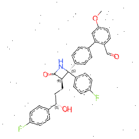 COc1ccc(C=O)c(-c2ccc([C@@]3(c4ccc(F)cc4)NC(=O)[C@@H]3CC[C@H](O)c3ccc(F)cc3)cc2)c1